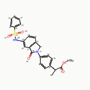 CC(C(=O)OC(C)(C)C)c1ccc(N2Cc3ccc(NS(=O)(=O)c4ccccc4)cc3C2=O)cc1